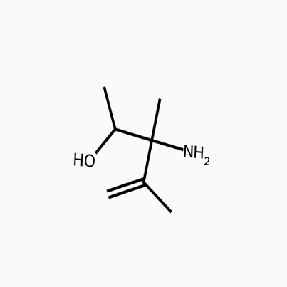 C=C(C)C(C)(N)C(C)O